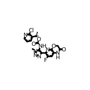 C[C@@H](OC(=O)Nc1c(-c2nc3c(cc2F)NC(=O)CO3)nnn1C)c1cccnc1Cl